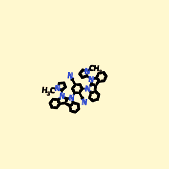 Cn1cccc1-n1c2ccccc2c2c3ccccc3n(-c3cc(C#N)cc(-n4c5ccccc5c5c6ccccc6n(-c6cccn6C)c54)c3C#N)c21